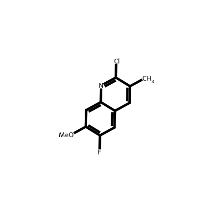 COc1cc2nc(Cl)c(C)cc2cc1F